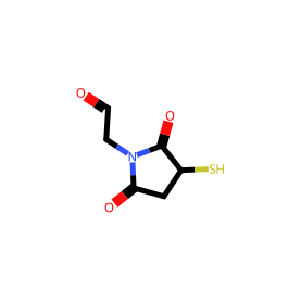 O=CCN1C(=O)CC(S)C1=O